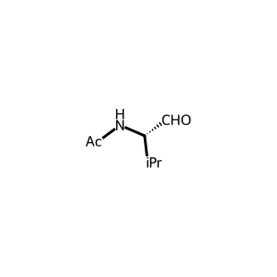 CC(=O)N[C@H](C=O)C(C)C